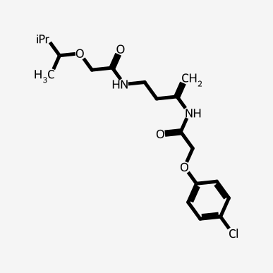 C=C(CCNC(=O)COC(C)C(C)C)NC(=O)COc1ccc(Cl)cc1